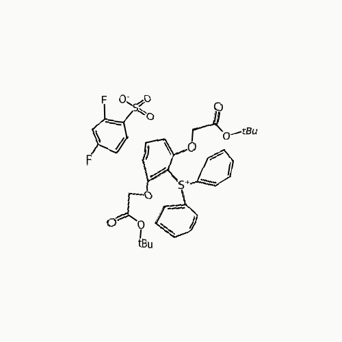 CC(C)(C)OC(=O)COc1cccc(OCC(=O)OC(C)(C)C)c1[S+](c1ccccc1)c1ccccc1.O=S(=O)([O-])c1ccc(F)cc1F